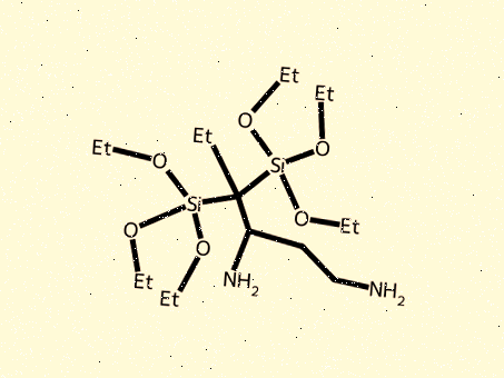 CCO[Si](OCC)(OCC)C(CC)(C(N)CCN)[Si](OCC)(OCC)OCC